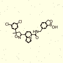 CC1(c2cc(Cl)cc(Cl)c2)CC(c2ccc(C(=O)NCc3ccc4c(c3)B(O)OC4)n3cccc23)=NO1